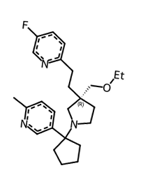 CCOC[C@]1(CCc2ccc(F)cn2)CCN(C2(c3ccc(C)nc3)CCCC2)C1